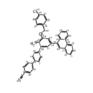 N#Cc1ccc(-c2ccc(-c3cc(-c4cc5ccccc5c5ccccc45)cc(OCc4ccc(Cl)cc4)c3N)cc2)cc1